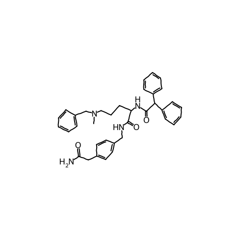 CN(CCCC(NC(=O)C(c1ccccc1)c1ccccc1)C(=O)NCc1ccc(CC(N)=O)cc1)Cc1ccccc1